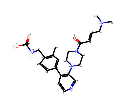 Cc1cc(-c2ccncc2N2CCN(C(=O)/C=C/CN(C)C)CC2)ccc1CNC(=O)O